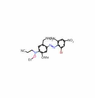 CCON(CCC#N)c1cc(CNC(C)=O)c(N=Nc2c(Br)cc([N+](=O)[O-])cc2[N+](=O)[O-])cc1OC